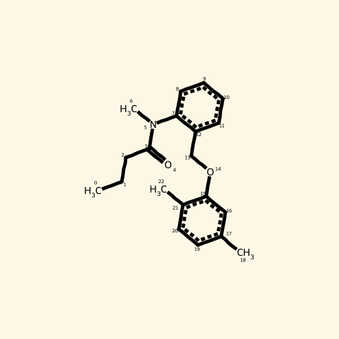 CCCC(=O)N(C)c1ccccc1COc1cc(C)ccc1C